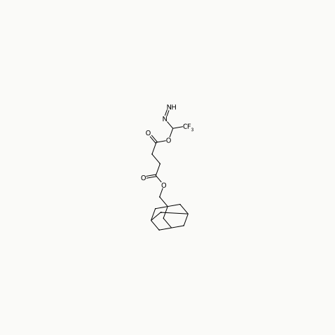 N=NC(OC(=O)CCC(=O)OCC12CC3CC(CC(C3)C1)C2)C(F)(F)F